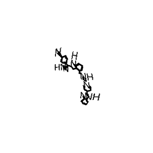 N#Cc1ccc2c(-c3cc4c(CNCCN5CCC(c6nc7ccccc7[nH]6)CC5)cccc4[nH]3)n[nH]c2c1